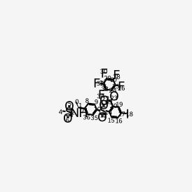 C[C@H](NS(C)(=O)=O)c1ccc(S(=O)(=O)c2ccc(I)cc2C(=O)Oc2c(F)c(F)c(F)c(F)c2F)cc1